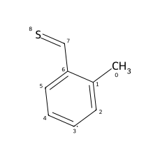 Cc1c[c]ccc1C=S